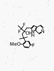 COc1ccc(F)cc1C(C)(C)CC(O)(Cc1cc2ccncc2[nH]1)C(C)(F)F